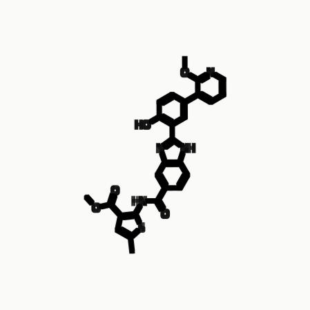 COC(=O)c1cc(C)sc1NC(=O)c1ccc2[nH]c(-c3cc(-c4cccnc4OC)ccc3O)nc2c1